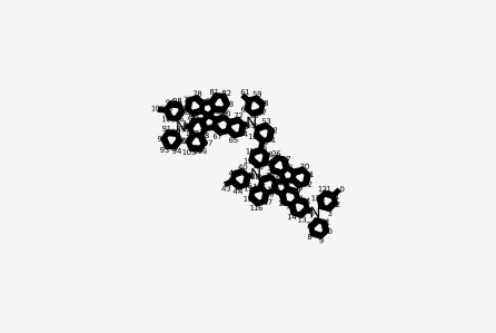 Cc1ccc(N(c2ccccc2)c2ccc3cc4c(cc3c2)C2(c3ccccc3-c3ccccc32)c2cc(N(c3ccc(C)cc3)c3ccc(-c5cccc(N(c6cccc(C)c6)c6ccc7cc8c(cc7c6)C6(c7ccccc7-c7ccccc76)c6cc(N(c7ccccc7)c7cccc(C)c7)c7ccccc7c6-8)c5)cc3)c3ccccc3c2-4)cc1